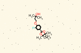 CC(C)(O)CCOc1ccc(B2OC(C)(C)C(C)(C)O2)cc1F